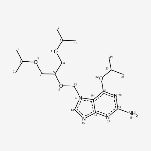 CC(C)OCC(COC(C)C)OCn1cnc2nc(N)nc(OC(C)C)c21